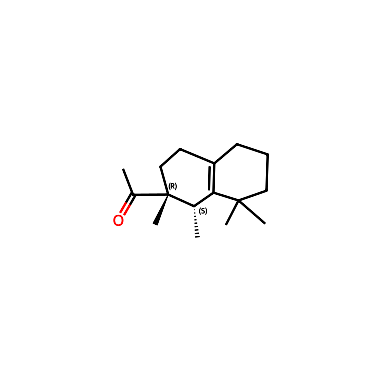 CC(=O)[C@]1(C)CCC2=C([C@@H]1C)C(C)(C)CCC2